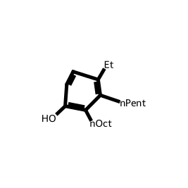 CCCCCCCCc1c(O)ccc(CC)c1CCCCC